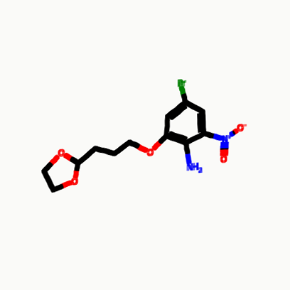 Nc1c(OCCCC2OCCO2)cc(Br)cc1[N+](=O)[O-]